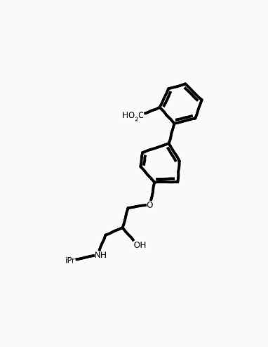 CC(C)NCC(O)COc1ccc(-c2ccccc2C(=O)O)cc1